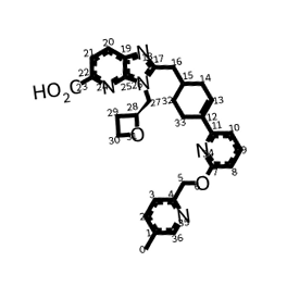 Cc1ccc(COc2cccc(C3=CCC(Cc4nc5ccc(C(=O)O)nc5n4C[C@@H]4CCO4)CC3)n2)nc1